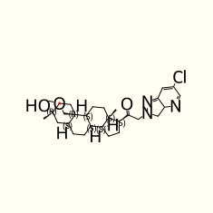 COC[C@]12CC[C@@](C)(O)C[C@@H]1CC[C@H]1[C@@H]3CC[C@H](C(=O)CN4CC5N=CC(Cl)=CC5=N4)[C@@]3(C)CC[C@@H]12